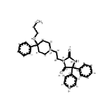 CCCOC1(c2ccccc2)CCN(CCN2C(=O)NC(c3ccccc3)(c3ccncc3)C2=O)CC1